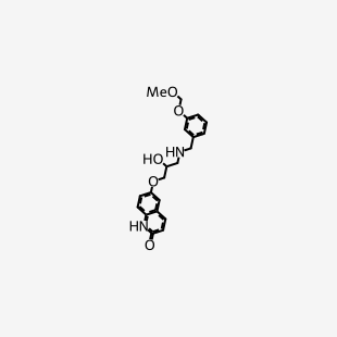 COCOc1cccc(CNCC(O)COc2ccc3[nH]c(=O)ccc3c2)c1